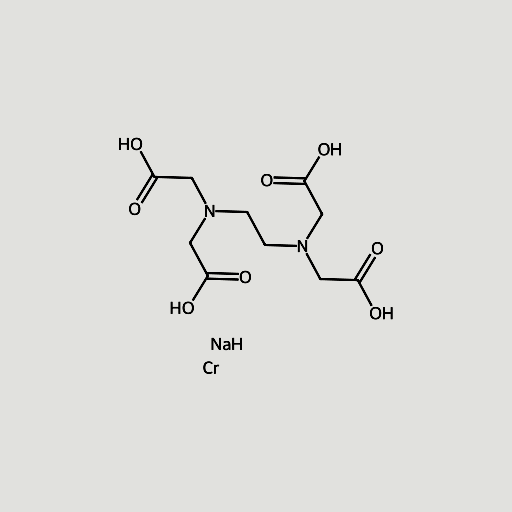 O=C(O)CN(CCN(CC(=O)O)CC(=O)O)CC(=O)O.[Cr].[NaH]